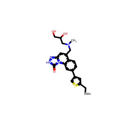 CNCc1cc(-c2ccc3c(CN(C)CC(O)CO)cc4n[nH]c(=O)n4c3c2)cs1